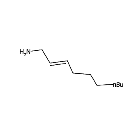 CCCCCCCC=CCN